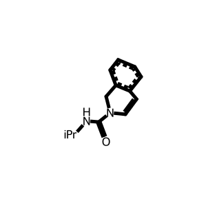 CC(C)NC(=O)N1C=Cc2ccccc2C1